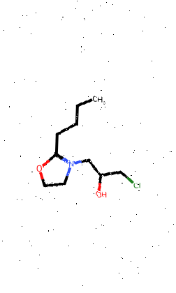 CCCCC1OCCN1CC(O)CCl